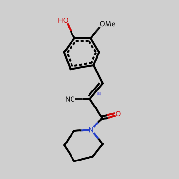 COc1cc(/C=C(\C#N)C(=O)N2CCCCC2)ccc1O